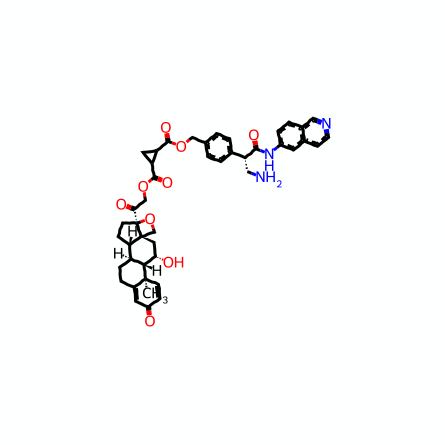 C[C@]12C=CC(=O)C=C1CC[C@@H]1[C@@H]2[C@@H](O)C[C@]23CO[C@]2(C(=O)COC(=O)C2CC2C(=O)OCc2ccc([C@@H](CN)C(=O)Nc4ccc5cnccc5c4)cc2)CC[C@@H]13